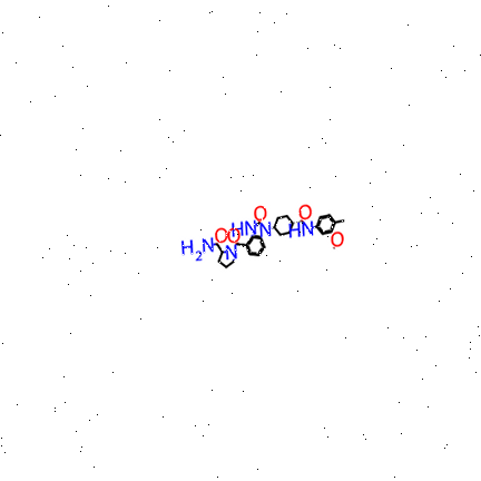 COc1cc(NC(=O)[C@H]2CC[C@@H](n3c(=O)[nH]c4c(C(=O)N5CCCC5C(N)=O)cccc43)CC2)ccc1C